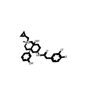 C[N@+]1(CC2CC2)CC[C@@]2(c3cccc(O)c3)C[C@H](NC(=O)Cc3ccc(Cl)c(Cl)c3)CCC2(O)C1